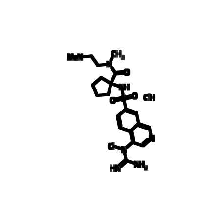 CNCCN(C)C(=O)C1(NS(=O)(=O)c2ccc3c(N(Cl)C(=N)N)cncc3c2)CCCC1.Cl